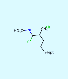 CCCCCCCCCC(C)C(Cl)NC(=O)O.Cl